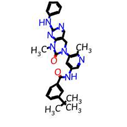 Cc1ncc(NC(=O)c2cccc(C(C)(C)C)c2)cc1N1Cc2cnc(Nc3ccccc3)nc2N(C)C1=O